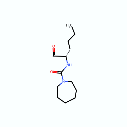 CCCC[C@@H]([C]=O)NC(=O)N1CCCCCC1